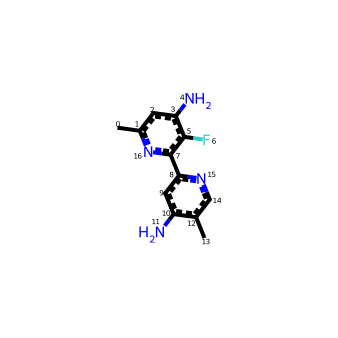 Cc1cc(N)c(F)c(-c2cc(N)c(C)cn2)n1